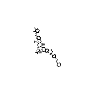 Cc1nccc(Oc2ccc(CC(NC(=O)[C@@H]3Cc4cc5c(cc4CN3C(=O)NC(C)(C)C)O[C@@H](c3ccc(OCC4CCCCC4)cc3)CO5)C(=O)O)cc2)c1C